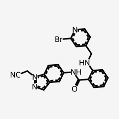 N#CCn1ncc2cc(NC(=O)c3ccccc3NCc3ccnc(Br)c3)ccc21